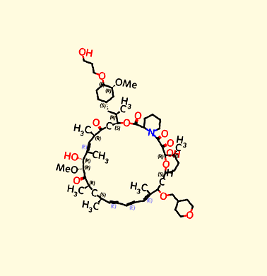 CO[C@@H]1C[C@H](C[C@@H](C)[C@@H]2CC(=O)[C@H](C)/C=C(\C)[C@@H](O)[C@@H](OC)C(=O)[C@H](C)C[C@H](C)/C=C/C=C/C=C(\C)C(OCC3CCOCC3)C[C@@H]3CC[C@@H](C)[C@@](O)(O3)C(=O)C(=O)N3CCCCC3C(=O)O2)CC[C@H]1OCCCO